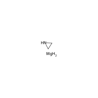 C1CN1.[MgH2]